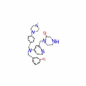 COc1cccc(CN(Cc2ccc(N3CCN(C)CC3)cc2)c2ccnc(CN3CCNCC3=O)c2)c1